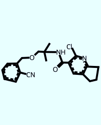 CC(C)(COCc1ccccc1C#N)NC(=O)c1cc2c(nc1Cl)CCC2